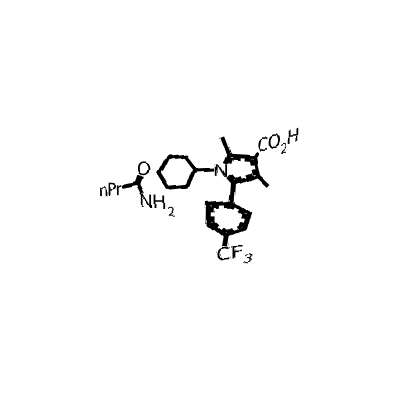 CCCC(N)=O.Cc1c(C(=O)O)c(C)n(C2CCCCC2)c1-c1ccc(C(F)(F)F)cc1